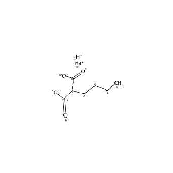 CCCCC(C(=O)[O-])C(=O)[O-].[H+].[Na+]